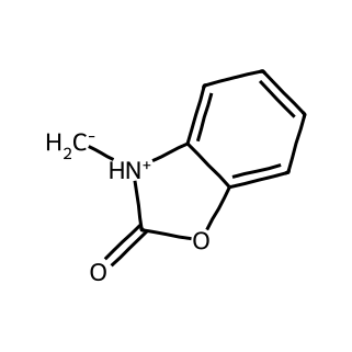 [CH2-][NH+]1C(=O)Oc2ccccc21